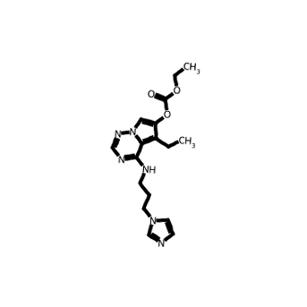 CCOC(=O)Oc1cn2ncnc(NCCCn3ccnc3)c2c1CC